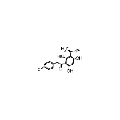 C=C(c1c(O)cc(O)c(C(=O)Cc2ccc(Cl)cc2)c1O)C(C)C